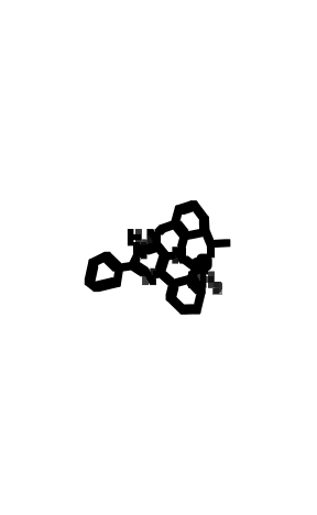 CC(C)c1cccc(CN)c1N(C(N)=O)c1cnc(-c2ccccc2)nc1-c1ccccc1Cl